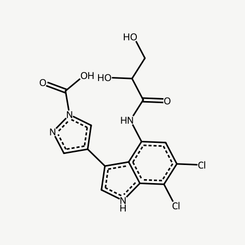 O=C(Nc1cc(Cl)c(Cl)c2[nH]cc(-c3cnn(C(=O)O)c3)c12)C(O)CO